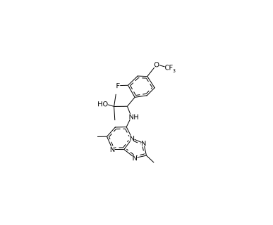 Cc1cc(NC(c2ccc(OC(F)(F)F)cc2F)C(C)(C)O)n2nc(C)nc2n1